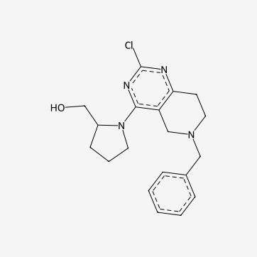 OCC1CCCN1c1nc(Cl)nc2c1CN(Cc1ccccc1)CC2